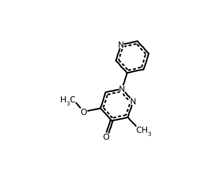 COc1cn(-c2cccnc2)nc(C)c1=O